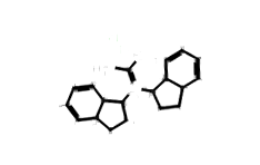 C[C](C)=[Zr+2]([CH]1CCC2C=CC=CC21)[CH]1CCC2C=CC=CC21.[Cl-].[Cl-]